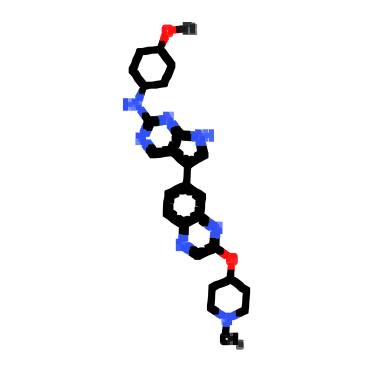 CCO[C@H]1CC[C@@H](Nc2ncc3c(-c4ccc5ncc(OC6CCN(C)CC6)nc5c4)c[nH]c3n2)CC1